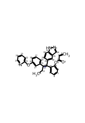 C=CC(=O)Oc1ccccc1/C(=C(\CC)c1cccc(Oc2ccccn2)c1)c1ccc2[nH]ncc2c1